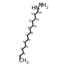 CCCCCCCCCCCCCCCNN